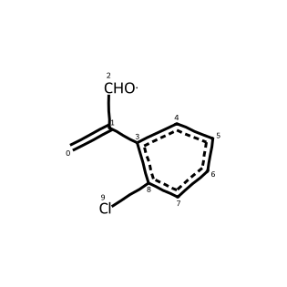 C=C([C]=O)c1ccccc1Cl